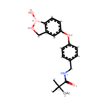 CC(=O)OC(C)(C)C(=O)NCc1ccc(Oc2ccc3c(c2)COB3O)cc1